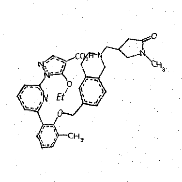 CCOc1c(C(=O)O)cnn1-c1cccc(-c2cccc(C)c2OCc2ccc3c(c2)CCN(CC2CC(=O)N(C)C2)C3)n1